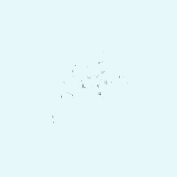 C=CCOC(=O)CC(=C)C(=O)O[Si](O[Si](C)(C)C)(O[Si](C)(C)C)O[Si](C)(C)C